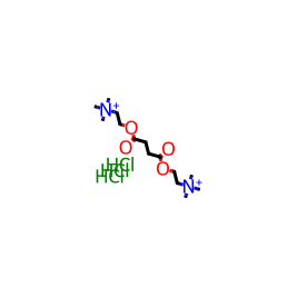 C[N+](C)(C)CCOC(=O)CCC(=O)OCC[N+](C)(C)C.Cl.Cl.Cl